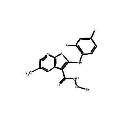 CCONC(=O)c1c(Nc2ccc(I)cc2F)sc2ncc(C)cc12